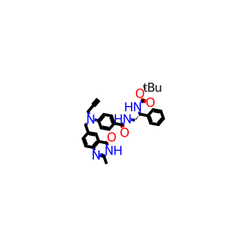 C#CCN(Cc1ccc2nc(C)[nH]c(=O)c2c1)c1ccc(C(=O)NC[C@H](NC(=O)OC(C)(C)C)c2ccccc2)cc1